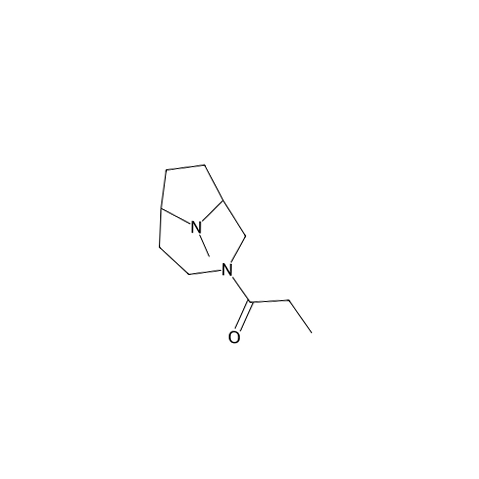 CCC(=O)N1CCC2CCC(C1)N2C